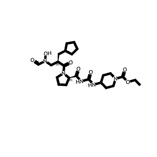 CCOC(=O)N1CCC(NC(=O)NC(=O)[C@H]2CCCN2C(=O)[C@H](CC2CCCC2)CN(O)C=O)CC1